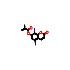 C=C(C)C(=O)Oc1cc(I)c2ccc(=O)oc2c1I